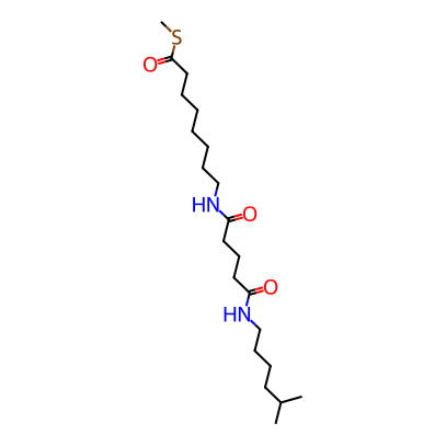 CSC(=O)CCCCCCCNC(=O)CCCC(=O)NCCCCC(C)C